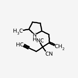 C#CCC(C#N)(C#N)C(=C)CC1CCC(C)N1